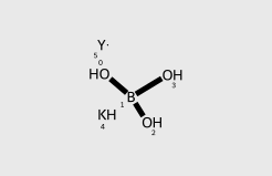 OB(O)O.[KH].[Y]